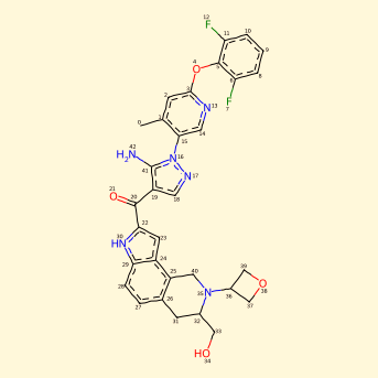 Cc1cc(Oc2c(F)cccc2F)ncc1-n1ncc(C(=O)c2cc3c4c(ccc3[nH]2)CC(CO)N(C2COC2)C4)c1N